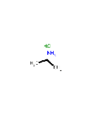 Cl.N.[CH2]CC